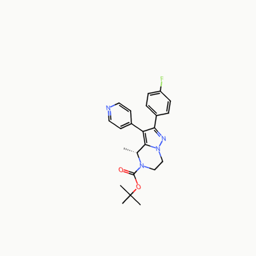 C[C@@H]1c2c(-c3ccncc3)c(-c3ccc(F)cc3)nn2CCN1C(=O)OC(C)(C)C